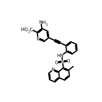 Cc1ccc2cccnc2c1S(=O)(=O)Nc1ccccc1C#Cc1cnc(C(=O)O)c(N)c1